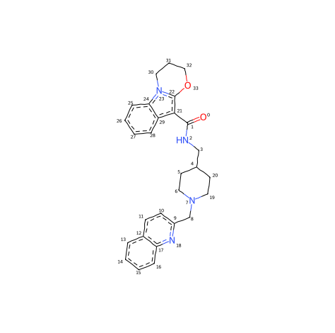 O=C(NCC1CCN(Cc2ccc3ccccc3n2)CC1)c1c2n(c3ccccc13)CCCO2